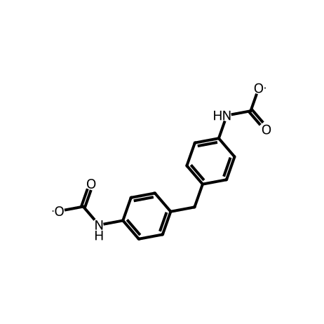 [O]C(=O)Nc1ccc(Cc2ccc(NC([O])=O)cc2)cc1